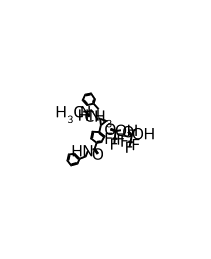 CN(C)c1ccccc1CNC1CC1c1ccc(C(=O)NCc2ccccc2)cc1.O=C(O)C(F)(F)F.O=C(O)C(F)(F)F